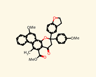 COC(=O)c1c2c(c3cc(OC)c4ccccc4c3c1C)OC(c1ccc(OC)cc1)(c1ccc3c(c1)CCO3)CC2=O